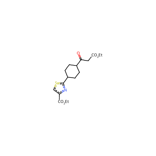 CCOC(=O)CC(=O)C1CCC(c2nc(C(=O)OCC)cs2)CC1